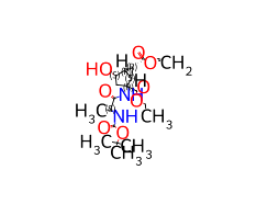 C=COC(=O)[C@H]1[C@H]2[C@@H]1[C@@](NC(=O)[C@H](C)NC(=O)OC(C)(C)C)(C(=O)OCC)C[C@@H]2O